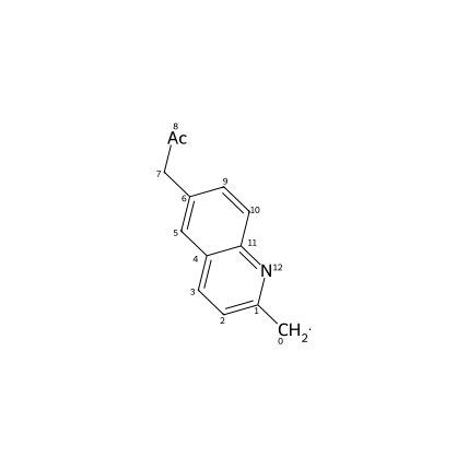 [CH2]c1ccc2cc(CC(C)=O)ccc2n1